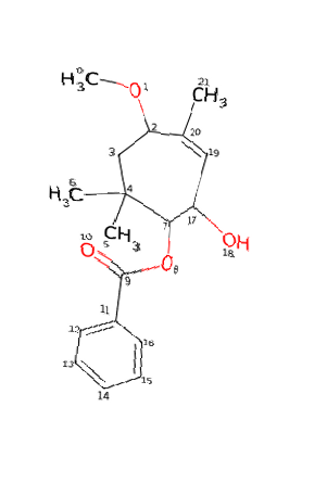 COC1CC(C)(C)C(OC(=O)c2ccccc2)C(O)C=C1C